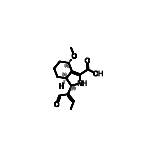 CC=C(C=O)[C@@H]1NC(C(=O)O)=C2[C@@H](OC)CCC[C@@H]21